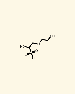 O=S(=O)(O)C(O)COCCO